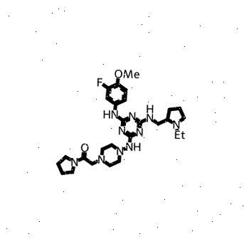 CCN1CCCC1CNc1nc(Nc2ccc(OC)c(F)c2)nc(NN2CCN(CC(=O)N3CCCC3)CC2)n1